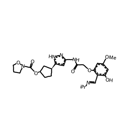 COc1cc(O)c(/C=N/C(C)C)c(OCC(=O)Nc2cc([C@H]3CC[C@@H](OC(=O)N4CCCO4)C3)[nH]n2)c1